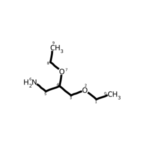 CCOCC(CN)OCC